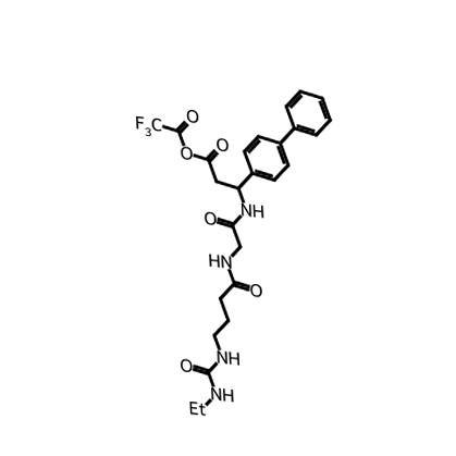 CCNC(=O)NCCCC(=O)NCC(=O)NC(CC(=O)OC(=O)C(F)(F)F)c1ccc(-c2ccccc2)cc1